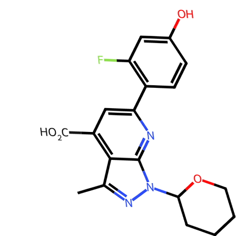 Cc1nn(C2CCCCO2)c2nc(-c3ccc(O)cc3F)cc(C(=O)O)c12